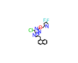 CN1CC(F)(F)CC1COc1nc(Cl)c2ncc(Cc3cccc4ccccc34)n2n1